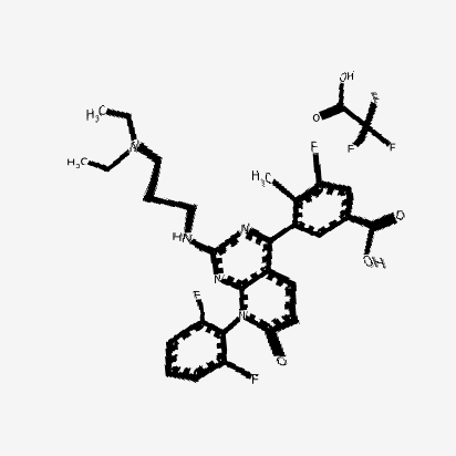 CCN(CC)CCCNc1nc(-c2cc(C(=O)O)cc(F)c2C)c2ccc(=O)n(-c3c(F)cccc3F)c2n1.O=C(O)C(F)(F)F